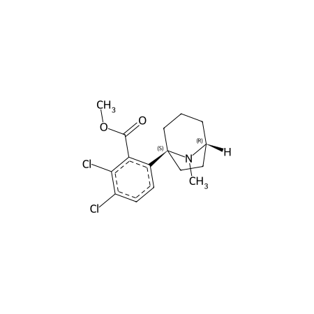 COC(=O)c1c([C@]23CCC[C@H](CC2)N3C)ccc(Cl)c1Cl